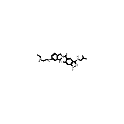 CCN(C)CCOc1ccc2c(c1)CN(C(=O)c1cc3c(NCC(C)C)n[nH]c3cc1O)C2